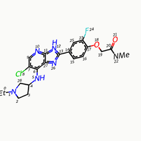 CCN1CCC(Nc2c(Cl)cnc3[nH]c(-c4ccc(OCC(=O)NC)c(F)c4)nc23)C1